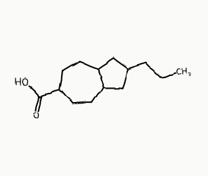 CCCC1CC2CCC(C(=O)O)CCC2C1